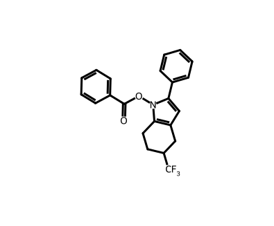 O=C(On1c(-c2ccccc2)cc2c1CCC(C(F)(F)F)C2)c1ccccc1